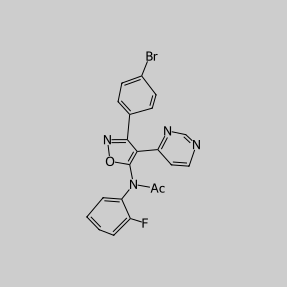 CC(=O)N(c1ccccc1F)c1onc(-c2ccc(Br)cc2)c1-c1ccncn1